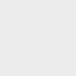 O=C(O)CCCCCC(CCC(=O)O)(c1ccccc1)c1ccccc1